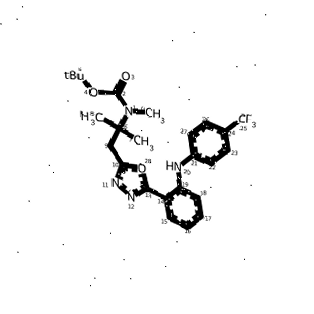 CN(C(=O)OC(C)(C)C)C(C)(C)Cc1nnc(-c2ccccc2Nc2ccc(C(F)(F)F)cc2)o1